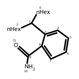 CCCCCCC(CCCCCC)c1ccccc1C(N)=O